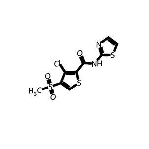 CS(=O)(=O)c1csc(C(=O)Nc2nccs2)c1Cl